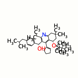 CC(C)Cc1ccc([C@@H](O)c2c(C(C)C)nc3c(c2C2=CCCC2)[C@@H](O[Si](C)(C)C(C)(C)C)CC(C)(C)C3)cc1